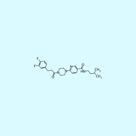 CC(C)CCNC(=O)c1ccc(N2CCN(C(=O)CCc3ccc(F)c(F)c3)CC2)nc1